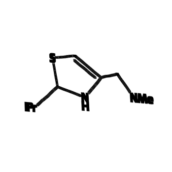 CNCC1=CSC(C(C)C)N1